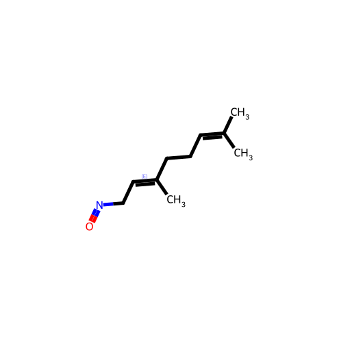 CC(C)=CCC/C(C)=C/CN=O